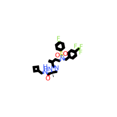 C=C(CCN(Cc1ccc(C(F)(F)F)cc1)S(=O)(=O)c1ccc(F)cc1)C1=NC[C@@](C)(C(=O)NCC2CCC2)N1